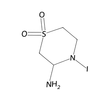 NC1CS(=O)(=O)CCN1I